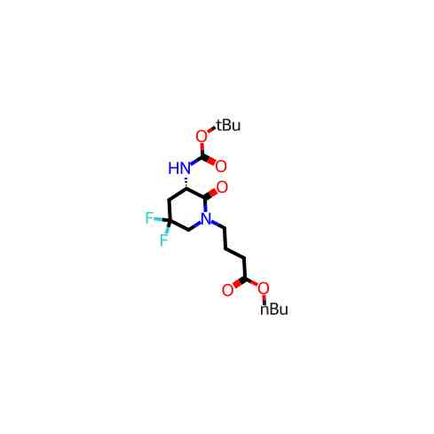 CCCCOC(=O)CCCN1CC(F)(F)C[C@H](NC(=O)OC(C)(C)C)C1=O